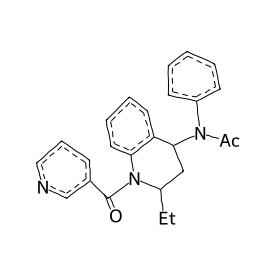 CCC1CC(N(C(C)=O)c2ccccc2)c2ccccc2N1C(=O)c1cccnc1